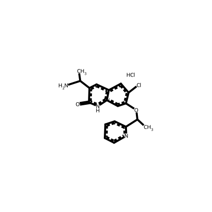 CC(N)c1cc2cc(Cl)c(OC(C)c3ccccn3)cc2[nH]c1=O.Cl